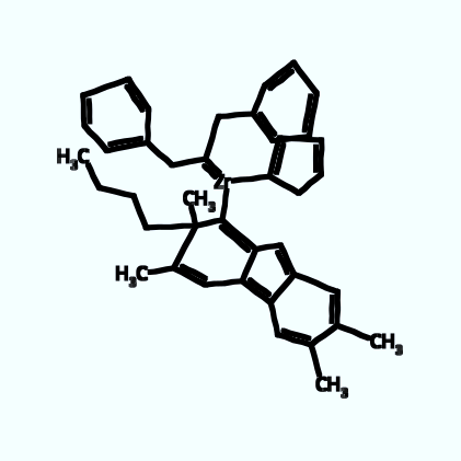 CCCCC1(C)C(C)=CC2=c3cc(C)c(C)cc3=CC2=[C]1[Zr]([C]1=CC=CC1)=[C](Cc1ccccc1)Cc1ccccc1